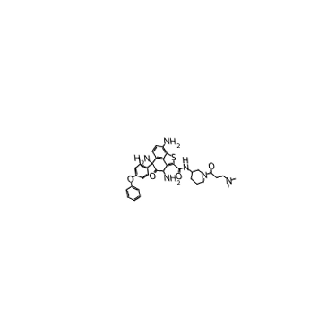 Cc1cc(Oc2ccccc2)ccc1C1(N)C(=O)C(N)c2c(C(=O)NC3CCCN(C(=O)CCN(C)C)C3)sc3c(N)ccc1c23